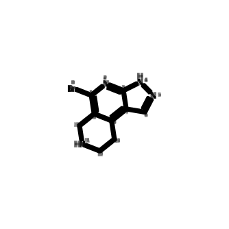 Brc1nc2[nH]ncc2c2c1CNCC2